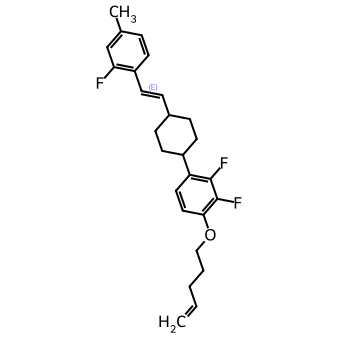 C=CCCCOc1ccc(C2CCC(/C=C/c3ccc(C)cc3F)CC2)c(F)c1F